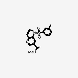 COC(=O)c1cnc2c(c1)N(S(=O)(=O)c1cccc(C)c1)CC=C2